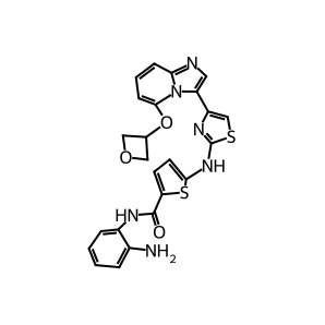 Nc1ccccc1NC(=O)c1ccc(Nc2nc(-c3cnc4cccc(OC5COC5)n34)cs2)s1